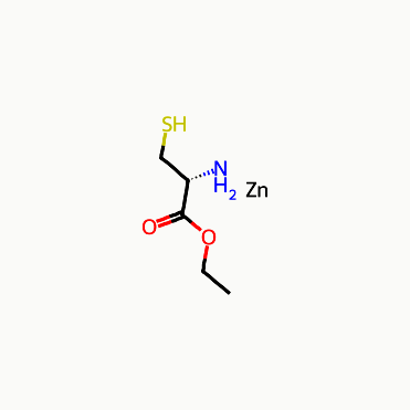 CCOC(=O)[C@@H](N)CS.[Zn]